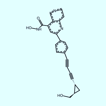 O=C(NO)c1cc(-c2ccc(C#CC#C[C@@H]3C[C@H]3CO)cc2)nc2ccncc12